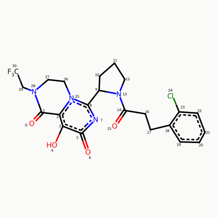 O=C1c2c(O)c(=O)nc(C3CCCN3C(=O)CCc3ccccc3Cl)n2CCN1CC(F)(F)F